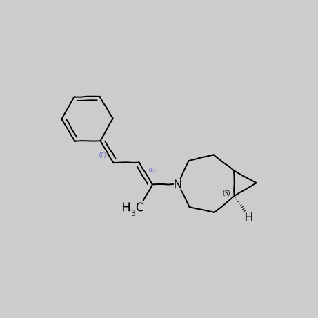 C/C(=C\C=C1\C=CC=CC1)N1CCC2C[C@H]2CC1